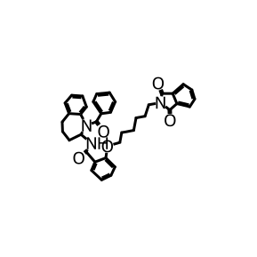 O=C(NC1CCCc2ccccc2N1C(=O)c1ccccc1)c1ccccc1OCCCCCCN1C(=O)c2ccccc2C1=O